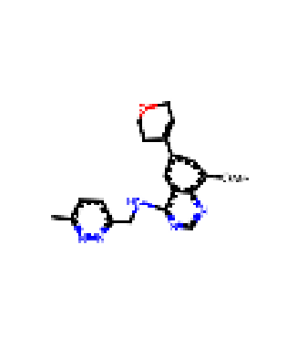 COc1cc(C2=CCOCC2)cc2c(NCc3ccc(C)nn3)ncnc12